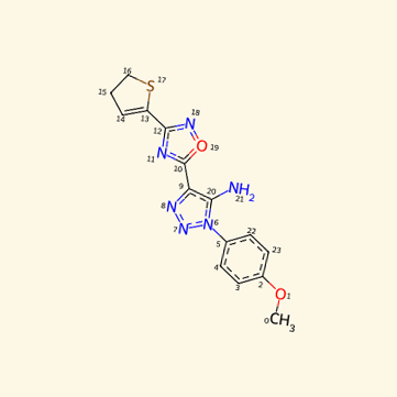 COc1ccc(-n2nnc(-c3nc(C4=CCCS4)no3)c2N)cc1